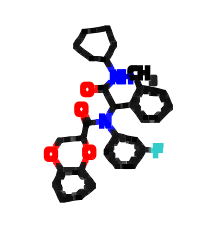 Cc1ccccc1C(C(=O)NC1CCCCC1)N(C(=O)C1COc2ccccc2O1)c1cccc(F)c1